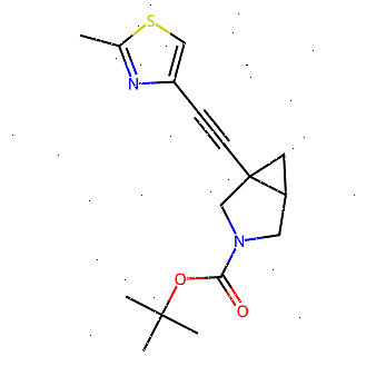 Cc1nc(C#CC23CC2CN(C(=O)OC(C)(C)C)C3)cs1